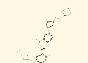 Cc1ccc(NC2CN(P(=O)(O)O)C2)cc1C(=O)NC(C)c1cccc(-c2ccc(CNC3CCCC3)s2)c1